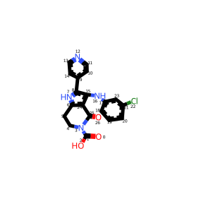 O=C(O)N1CCc2[nH]c(-c3ccncc3)c(Nc3cccc(Cl)c3)c2C1=O